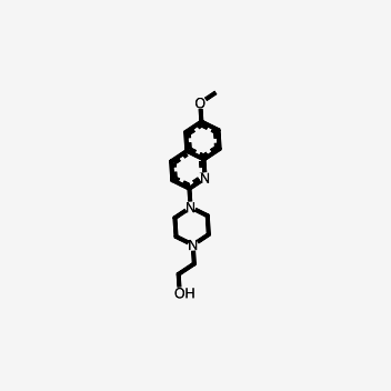 COc1ccc2nc(N3CCN(CCO)CC3)ccc2c1